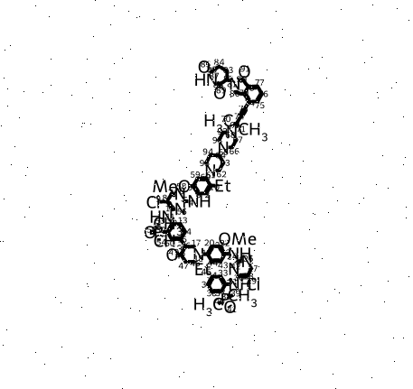 CCc1cc(Nc2ncc(Cl)c(Nc3ccc(C4CN(c5cc(OC)c(Nc6ncc(Cl)c(Nc7ccccc7P(C)(C)=O)n6)cc5CC)CCC4=O)cc3P(C)(C)=O)n2)c(OC)cc1N1CCC(N2CCN(C(C)(C)C#Cc3cccc4c3CN(C3CCC(=O)NC3=O)C4=O)CC2)CC1